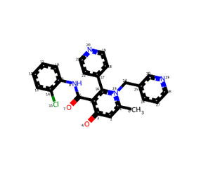 Cc1cc(=O)c(C(=O)Nc2ccccc2Cl)c(-c2ccncc2)n1Cc1cccnc1